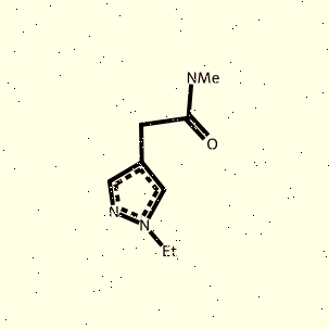 CCn1cc(CC(=O)NC)cn1